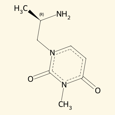 C[C@@H](N)Cn1ccc(=O)n(C)c1=O